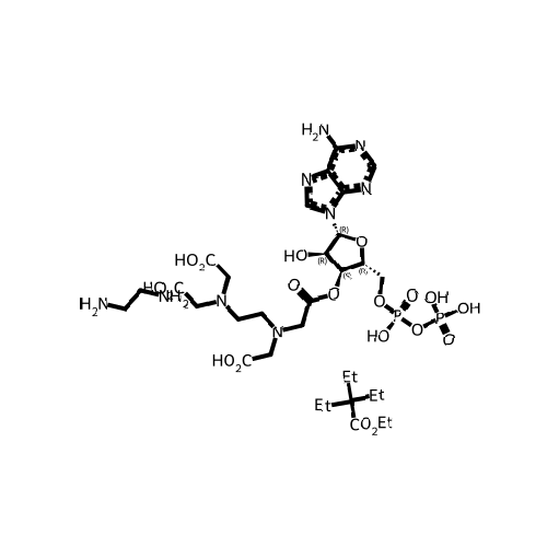 CCOC(=O)C(CC)(CC)CC.NCCN.Nc1ncnc2c1ncn2[C@@H]1O[C@H](COP(=O)(O)OP(=O)(O)O)[C@@H](OC(=O)CN(CCN(CC(=O)O)CC(=O)O)CC(=O)O)[C@H]1O